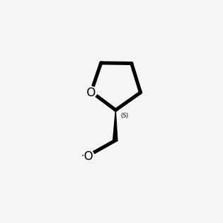 [O]C[C@@H]1CCCO1